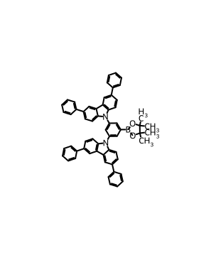 CC1(C)OB(c2cc(-n3c4ccc(-c5ccccc5)cc4c4cc(-c5ccccc5)ccc43)cc(-n3c4ccc(-c5ccccc5)cc4c4cc(-c5ccccc5)ccc43)c2)OC1(C)C